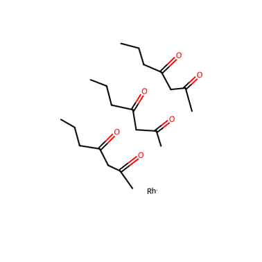 CCCC(=O)CC(C)=O.CCCC(=O)CC(C)=O.CCCC(=O)CC(C)=O.[Rh]